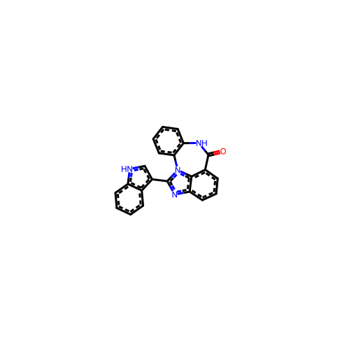 O=C1Nc2ccccc2-n2c(-c3c[nH]c4ccccc34)nc3cccc1c32